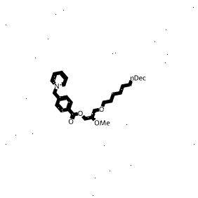 CCCCCCCCCCCCCCCCOCC(COC(=O)c1ccc(C[n+]2ccccc2)cc1)OC